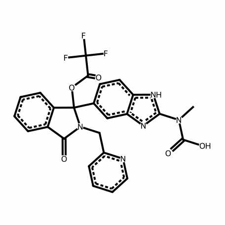 CN(C(=O)O)c1nc2cc(C3(OC(=O)C(F)(F)F)c4ccccc4C(=O)N3Cc3ccccn3)ccc2[nH]1